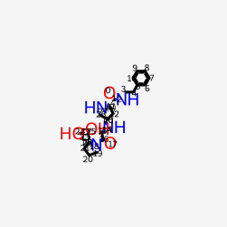 O=C(NCCc1ccccc1)[C@@H]1C[C@@H](NCC(=O)N2CCC[C@H]2B(O)O)CN1